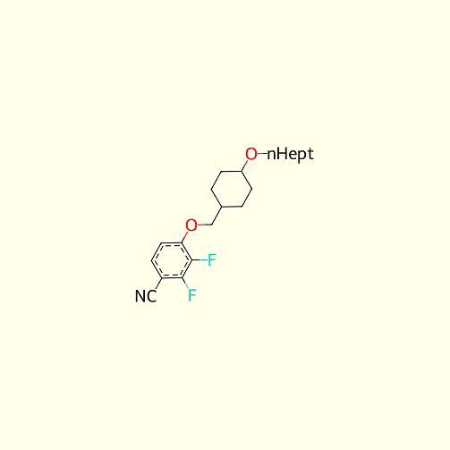 CCCCCCCOC1CCC(COc2ccc(C#N)c(F)c2F)CC1